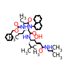 CCCC[C@@H](C(=O)N[C@@H](CC(C)C)[C@@H](O)/C=C/C(=O)NCC(C)C)N(C(=O)[C@H](C)NC(=O)OCc1ccccc1)c1cccc2ccccc12